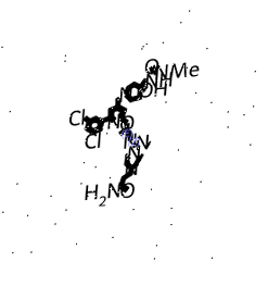 C=N/C(=N\C=C(/C)Oc1cc(CN2CCC(O)(CNC(=O)NC)CC2)cc(-c2cc(Cl)cc(Cl)c2)n1)N1CCN(CCC(N)=O)CC1